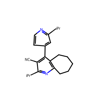 CC(C)c1cc(-c2c(C#N)c(C(C)C)nc3c2CCCCC3)ccn1